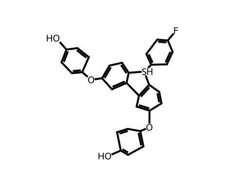 Oc1ccc(Oc2ccc3c(c2)-c2cc(Oc4ccc(O)cc4)ccc2[SH]3c2ccc(F)cc2)cc1